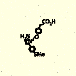 CSc1ccc(-c2ccc(N)n2CCOc2ccc(CCC(=O)O)cc2)cc1